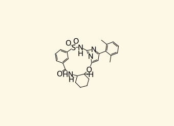 Cc1cccc(C)c1-c1cc2nc(n1)NS(=O)(=O)c1cccc(c1)C(=O)N[C@@H]1CCCC[C@H]1O2